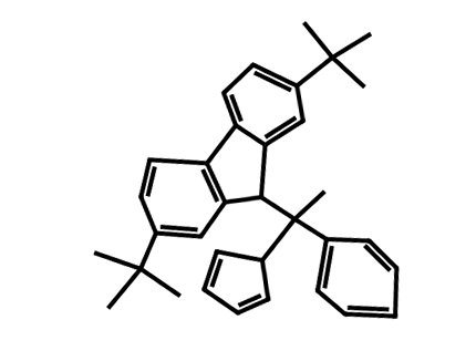 CC(C)(C)c1ccc2c(c1)C(C(C)(c1ccccc1)C1C=CC=C1)c1cc(C(C)(C)C)ccc1-2